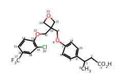 CC(CC(=O)O)c1ccc(OCC2(COc3ccc(C(F)(F)F)cc3Cl)COC2)cc1